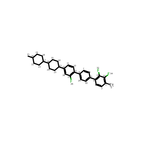 CCc1ccc(-c2ccc(-c3ccc(C4CCC(C5CCC(C)CC5)CC4)cc3F)cc2)c(F)c1F